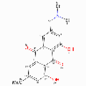 CCN(CC)Cc1cc(O)c2c(c1)C(=O)c1cc(OC)cc(O)c1C2=O